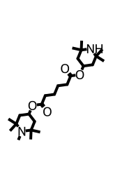 CN1C(C)(C)CC(OC(=O)CCCCC(=O)OC2CC(C)(C)NC(C)(C)C2)CC1(C)C